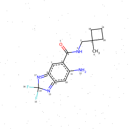 CC1(CNC(=O)c2cc3c(cc2N)=NC(F)(F)N=3)CCC1